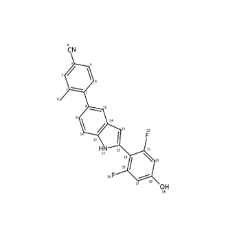 Cc1cc(C#N)ccc1-c1ccc2[nH]c(-c3c(F)cc(O)cc3F)cc2c1